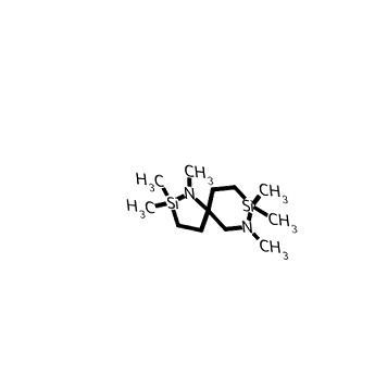 CN1CC2(CC[Si]1(C)C)CC[Si](C)(C)N2C